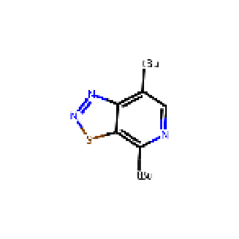 CC(C)(C)c1cnc(C(C)(C)C)c2snnc12